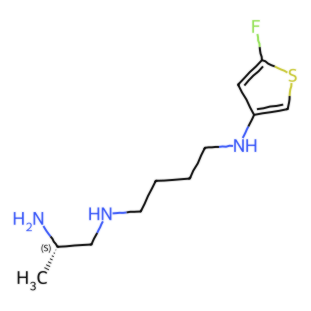 C[C@H](N)CNCCCCNc1csc(F)c1